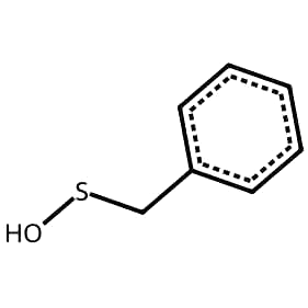 OSCc1ccccc1